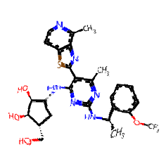 Cc1nc(N[C@H](C)c2ccccc2OC(F)(F)F)nc(N[C@@H]2C[C@H](CO)[C@@H](O)[C@H]2O)c1-c1nc2c(C)nccc2s1